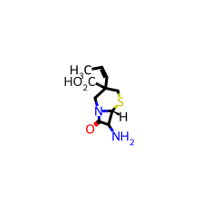 C/C=C\C1(C(=O)O)CS[C@@H]2C(N)C(=O)N2C1